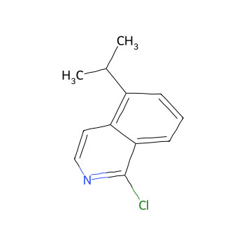 CC(C)c1cccc2c(Cl)nccc12